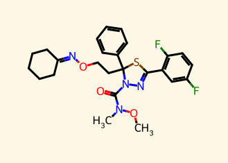 CON(C)C(=O)N1N=C(c2cc(F)ccc2F)SC1(CCON=C1CCCCC1)c1ccccc1